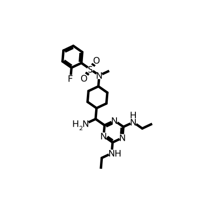 CCNc1nc(NCC)nc(C(N)C2CCC(N(C)S(=O)(=O)c3ccccc3F)CC2)n1